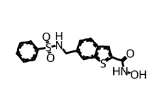 O=C(NO)c1cc2ccc(CNS(=O)(=O)c3ccccc3)cc2s1